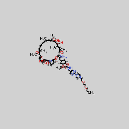 CCCOCCOCCN1CCN(c2ncc(CNC(=O)O[C@@H]3CC[C@@H](C[C@@H](N)[C@@H]4CC(=O)[C@H](C)/C=C(\C)[C@@H](O)[C@@H](O)C(=O)[C@H](C)C[C@H](C)/C=C/C=C/C=C(\C)[C@@H](OC)C[C@@H]5CC[C@@H](C)[C@@](O)(O5)C(=O)C(=O)N5CCCC[C@H]5C(=O)O4)C[C@H]3OC)cn2)CC1